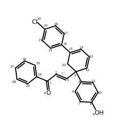 O=C(/C=C/C1(c2ccc(O)cc2)C=CC=C(c2ccc(Cl)cc2)C1)c1ccccc1